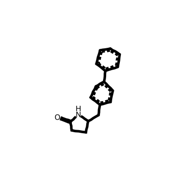 O=C1CCC(Cc2ccc(-c3ccccc3)cc2)N1